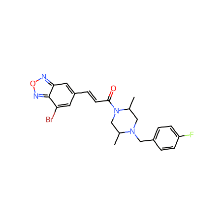 CC1CN(C(=O)C=Cc2cc(Br)c3nonc3c2)C(C)CN1Cc1ccc(F)cc1